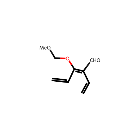 C=C/C(C=O)=C(\C=C)OCOC